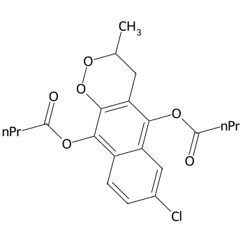 CCCC(=O)Oc1c2c(c(OC(=O)CCC)c3ccc(Cl)cc13)OOC(C)C2